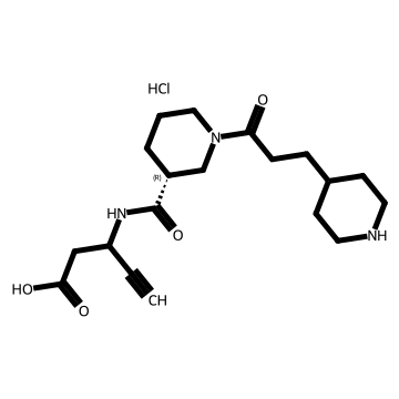 C#CC(CC(=O)O)NC(=O)[C@@H]1CCCN(C(=O)CCC2CCNCC2)C1.Cl